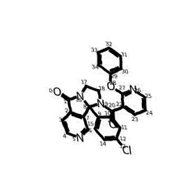 O=C1c2ccncc2C2(c3ccc(Cl)cc3)N1CCN2C(=O)c1cccnc1Oc1ccccc1